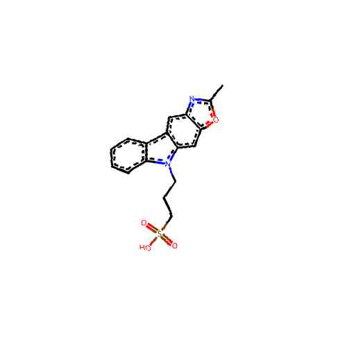 Cc1nc2cc3c4ccccc4n(CCCS(=O)(=O)O)c3cc2o1